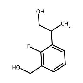 C[C](CO)c1cccc(CO)c1F